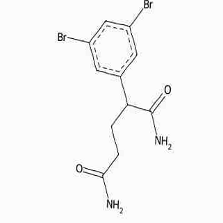 NC(=O)CCC(C(N)=O)c1cc(Br)cc(Br)c1